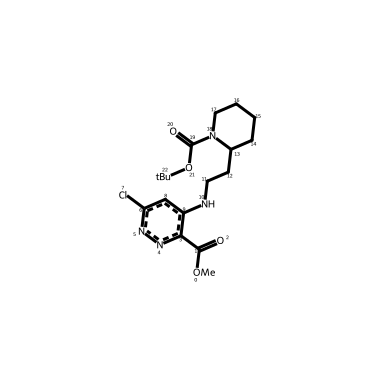 COC(=O)c1nnc(Cl)cc1NCCC1CCCCN1C(=O)OC(C)(C)C